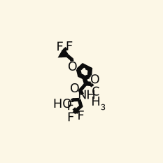 Cc1oc2ccc(OCC3CC3(F)F)cc2c1C(=O)NC(CO)CC(F)(F)F